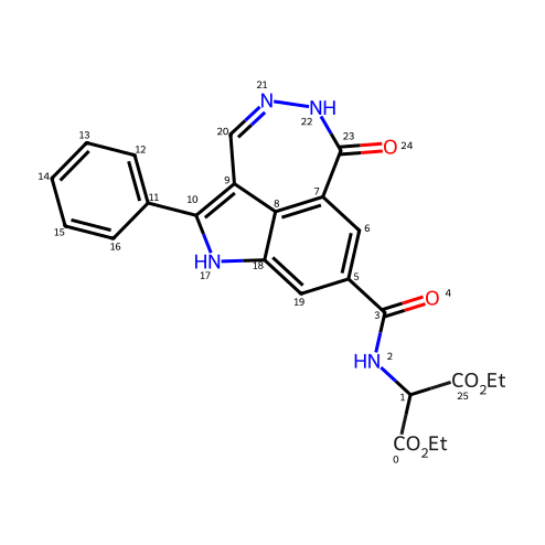 CCOC(=O)C(NC(=O)c1cc2c3c(c(-c4ccccc4)[nH]c3c1)C=NNC2=O)C(=O)OCC